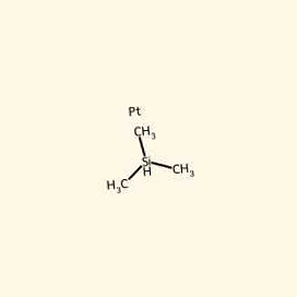 C[SiH](C)C.[Pt]